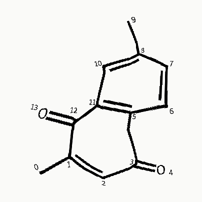 CC1=CC(=O)c2ccc(C)cc2C1=O